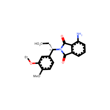 CCOc1cc([C@H](CC(=O)O)N2C(=O)c3cccc(N)c3C2=O)ccc1OC